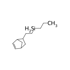 CCC[SiH2]CCC1CC2C=CC1C2